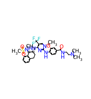 COc1cc(C(=O)NCCN(C)C)ccc1Nc1ncc(C(F)(F)F)c(N[C@@H]2CCc3ccccc3[C@H]2N(C)S(C)(=O)=O)n1